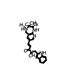 CN(Cc1cc2ccccc2[nH]1)C(=O)/C=C/c1cnc2c(c1)CNC(C)(C)C(=O)N2